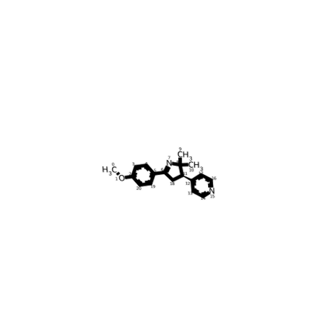 COc1ccc(C2=NC(C)(C)[C@@H](c3ccncc3)C2)cc1